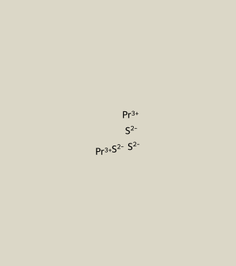 [Pr+3].[Pr+3].[S-2].[S-2].[S-2]